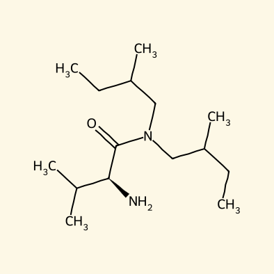 CCC(C)CN(CC(C)CC)C(=O)[C@@H](N)C(C)C